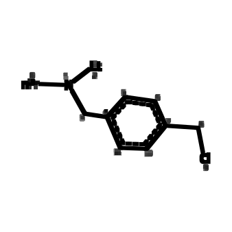 CCCN(CC)Cc1ccc(CCl)cc1